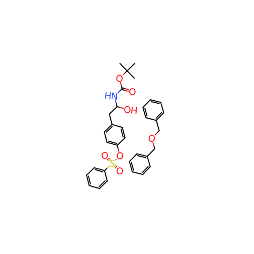 CC(C)(C)OC(=O)NC(O)Cc1ccc(OS(=O)(=O)c2ccccc2)cc1.c1ccc(COCc2ccccc2)cc1